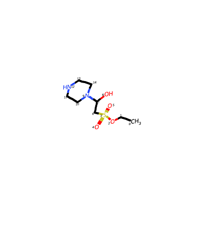 CCOS(=O)(=O)CC(O)N1CCNCC1